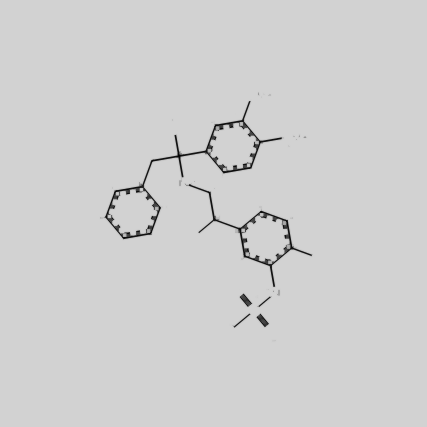 COc1ccc(C(I)(Cc2ccccc2)NCC(O)c2ccc(O)c(NS(C)(=O)=O)c2)cc1OC